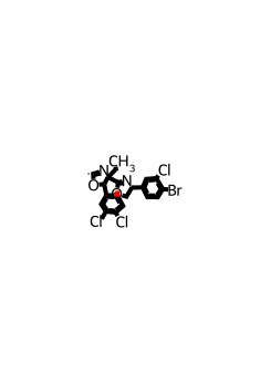 CCC1(C2=NC(c3ccc(Br)c(Cl)c3)CO2)N=[C]OC1c1ccc(Cl)c(Cl)c1